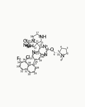 CN1CCC[C@H]1COc1nc(C2(CC#N)CNCCN2C(=O)O)c2ncc(-c3cccc4ccc(F)c(Cl)c34)cc2n1